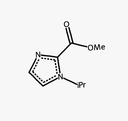 COC(=O)c1nccn1C(C)C